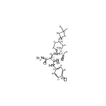 CC1(C)CN([C@H]2CC[C@H](N/C=C(\C(=N)Nc3ccc(Cl)cc3)C(N)=O)[C@@H](CC#N)C2)C1